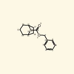 O=C(OCc1ccccc1)N1C2CCCC1CC2